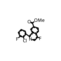 COC(=O)c1ccc2c(F)cnc(-c3cccc(F)c3Cl)c2c1